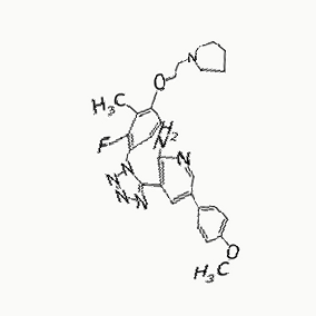 COc1ccc(-c2cnc(N)c(-c3nnnn3-c3ccc(OCCN4CCCCC4)c(C)c3F)c2)cc1